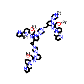 CCOCc1c([C@H]2CCC[C@@H](c3ncccc3C)N2C)nc2cccc(N3CCN(C4CC4c4ccc(N5CCN(CCc6ccc(N7CCN(CC)CC7)n7c(COC(C)C)c([C@H]8CCC[C@@H](c9ncccc9C)N8C)nc67)CC5)n5c(COCC)c([C@H]6CCC[C@@H](c7ncccc7C(C)C)N6C)nc45)CC3)n12